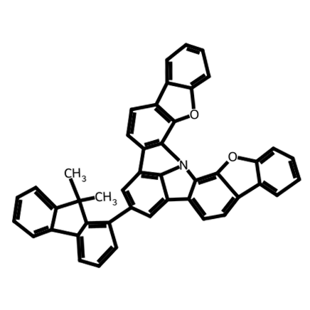 CC1(C)c2ccccc2-c2cccc(-c3cc4c5ccc6c7ccccc7oc6c5n5c4c(c3)c3ccc4c6ccccc6oc4c35)c21